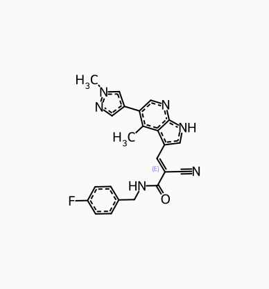 Cc1c(-c2cnn(C)c2)cnc2[nH]cc(/C=C(\C#N)C(=O)NCc3ccc(F)cc3)c12